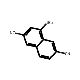 CC(C)(C)c1cc(C#N)cc2ccc(C#N)cc12